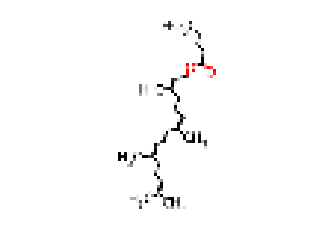 CC(C)=CCCC(C)=CCCC(C)=CCCC(C)=CCOC(=O)CCCC(=O)O